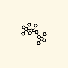 c1ccc(-c2c3c(c(-c4ccccc4)c4ccccc24)-c2cc4c(c5cccc-3c25)c2cc(-c3ccc5c(-c6ccccc6)c6ccccc6c(-c6ccccc6)c5c3)ccc2n4-c2ccccc2)cc1